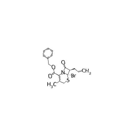 C=CC[C@@H]1C(=O)N2C(C(=O)OCc3ccccc3)=C(C)CS[C@]12Br